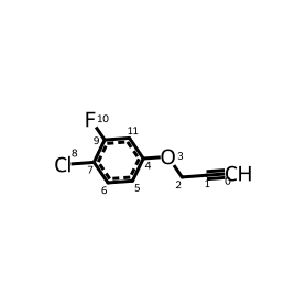 C#CCOc1ccc(Cl)c(F)c1